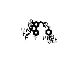 CCS(=O)(=O)NC1CCC(CN2CC(Cc3cc(-c4ccc(F)cc4C(=O)N(CC(F)F)C(C)C)c4cnn(C)c4c3)C2)CC1